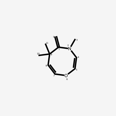 C=C1N(C)/C=C\O/C=C\C1(C)C